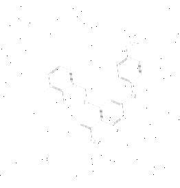 COc1ccc(Nc2cc(NCc3cccc(F)c3F)c(C(N)=O)cn2)cc1